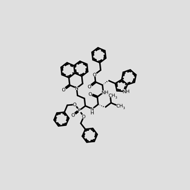 CC(C)C[C@H](NC(CCN1Cc2cccc3cccc(c23)C1=O)P(=O)(OCc1ccccc1)OCc1ccccc1)C(=O)N[C@@H](Cc1c[nH]c2ccccc12)C(=O)OCc1ccccc1